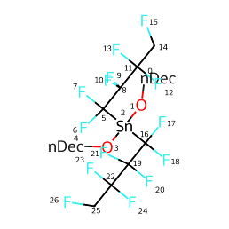 CCCCCCCCCC[O][Sn]([O]CCCCCCCCCC)([C](F)(F)C(F)(F)C(F)(F)CF)[C](F)(F)C(F)(F)C(F)(F)CF